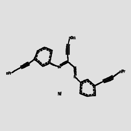 CCCC#Cc1cccc(N=CC(C#CCCCCCCCC)=Nc2cccc(C#CCCC)c2)c1.[Ni]